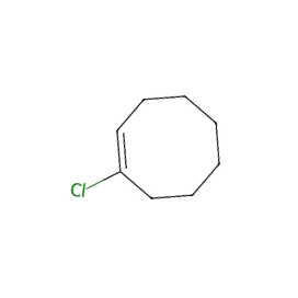 ClC1=CCCCCCC1